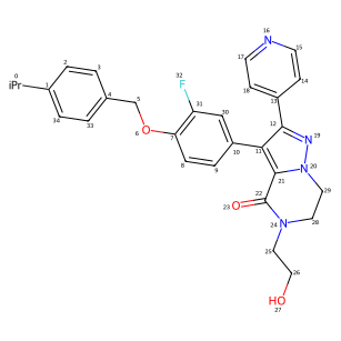 CC(C)c1ccc(COc2ccc(-c3c(-c4ccncc4)nn4c3C(=O)N(CCO)CC4)cc2F)cc1